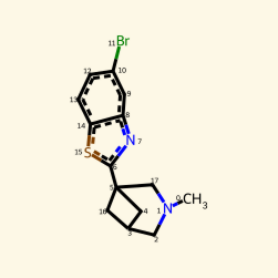 CN1CC2CC(c3nc4cc(Br)ccc4s3)(C2)C1